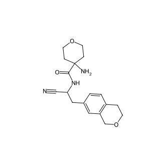 N#CC(Cc1ccc2c(c1)COCC2)NC(=O)C1(N)CCOCC1